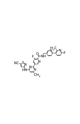 Cc1cc(Nc2cc(C#N)sn2)nc(-c2cnc(C(=O)NCc3ccc(-c4ccc(F)nc4C)nc3)c(F)c2)n1